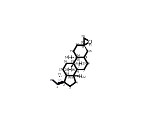 C/C=C1/CC[C@H]2[C@@H]3CCC4C[C@@]5(CC[C@@H]4[C@H]3CC[C@]12C)CO5